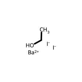 CCO.[Ba+2].[I-].[I-]